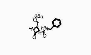 CCCCOC[C@H]1[C@H](C(=O)NCc2ccccc2)C(=O)N1C